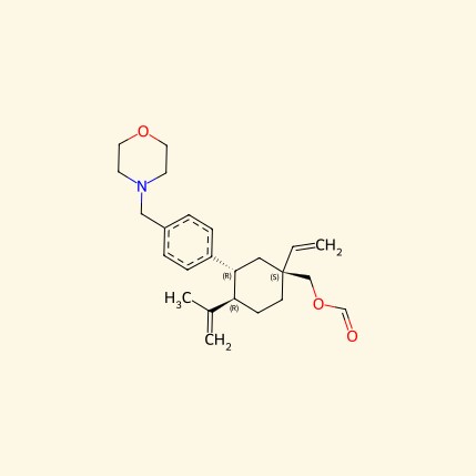 C=C[C@]1(COC=O)CC[C@@H](C(=C)C)[C@H](c2ccc(CN3CCOCC3)cc2)C1